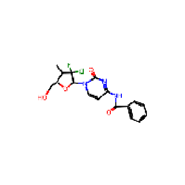 CC1C(CO)OC(n2ccc(NC(=O)c3ccccc3)nc2=O)C1(F)Cl